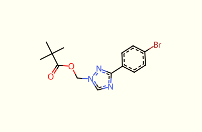 CC(C)(C)C(=O)OCn1cnc(-c2ccc(Br)cc2)n1